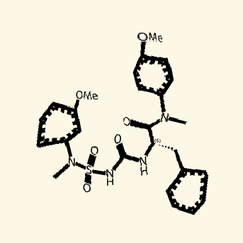 COc1ccc(N(C)C(=O)[C@H](Cc2ccccc2)NC(=O)NS(=O)(=O)N(C)c2cccc(OC)c2)cc1